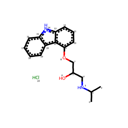 CC(C)NCC(O)COc1cccc2[nH]c3ccccc3c12.Cl